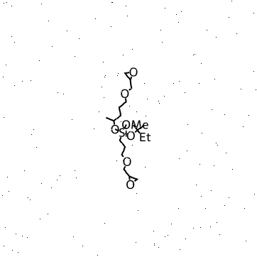 CCC(C)(C)O[Si](CCCOCC1CO1)(OC)OC(C)CCCOCC1CO1